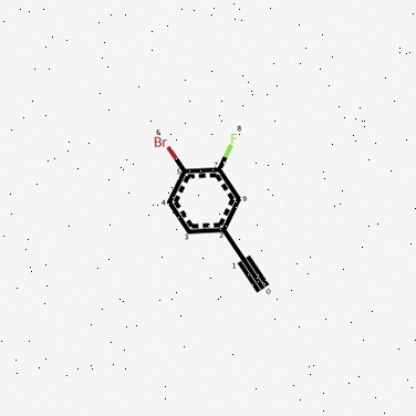 C#Cc1ccc(Br)c(F)c1